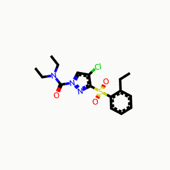 CCc1ccccc1S(=O)(=O)c1nn(C(=O)N(CC)CC)cc1Cl